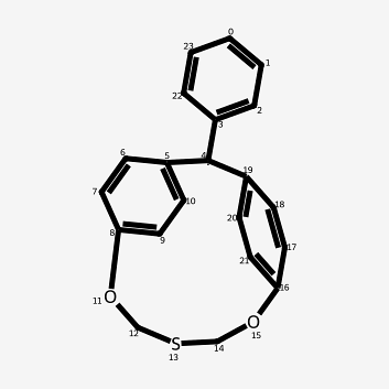 c1ccc([C]2c3ccc(cc3)OCSCOc3ccc2cc3)cc1